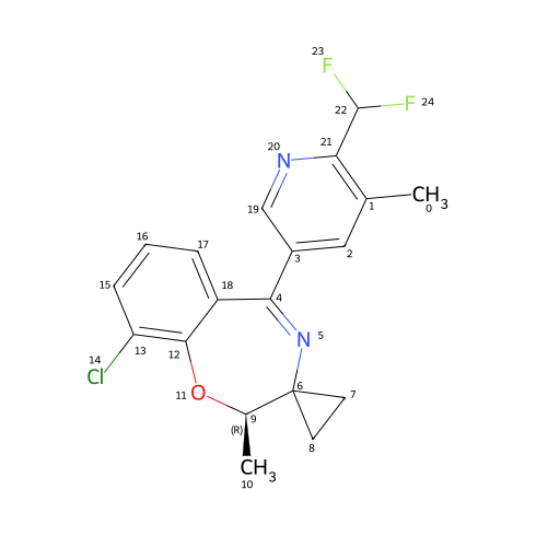 Cc1cc(C2=NC3(CC3)[C@@H](C)Oc3c(Cl)cccc32)cnc1C(F)F